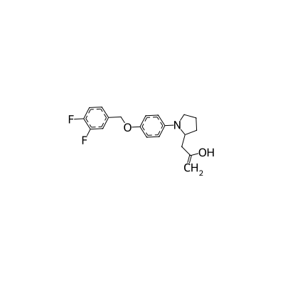 C=C(O)CC1CCCN1c1ccc(OCc2ccc(F)c(F)c2)cc1